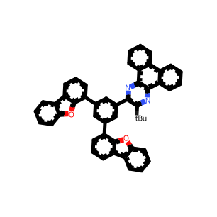 CC(C)(C)c1nc2c3ccccc3c3ccccc3c2nc1-c1cc(-c2cccc3c2oc2ccccc23)cc(-c2cccc3c2oc2ccccc23)c1